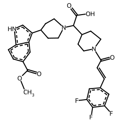 COC(=O)c1ccc2[nH]cc(C3CCN(C(C(=O)O)C4CCN(C(=O)/C=C/c5cc(F)c(F)c(F)c5)CC4)CC3)c2c1